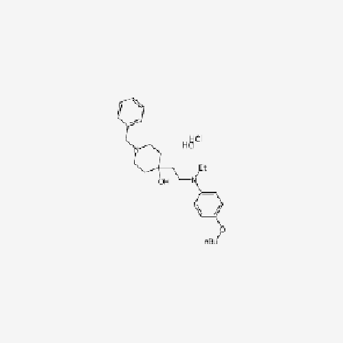 CCCCOc1ccc(N(CC)CCC2(O)CCN(Cc3ccccc3)CC2)cc1.Cl.Cl